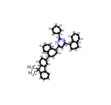 CC1(C)c2ccccc2-c2cc(-c3ccc(-c4cc(-c5cccc6ccccc56)nc(-c5ccccc5)n4)c4ccccc34)ccc21